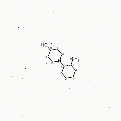 CC1CCCCC1N1CCC(O)CC1